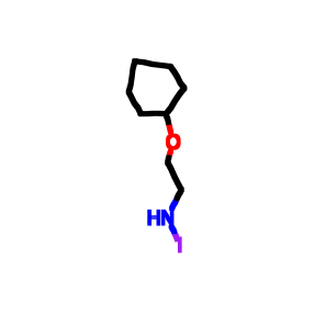 INCCOC1CCCCC1